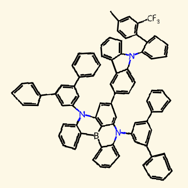 Cc1ccc(-c2ccccc2-n2c3ccccc3c3cc(-c4cc5c6c(c4)N(c4cc(-c7ccccc7)cc(-c7ccccc7)c4)c4ccccc4B6c4ccccc4N5c4cc(-c5ccccc5)cc(-c5ccccc5)c4)ccc32)c(C(F)(F)F)c1